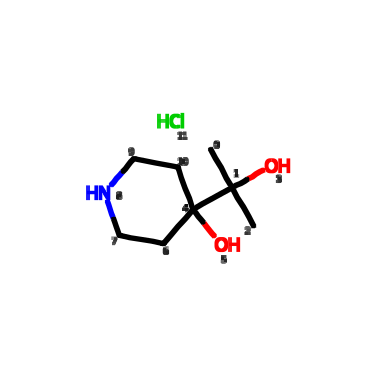 CC(C)(O)C1(O)CCNCC1.Cl